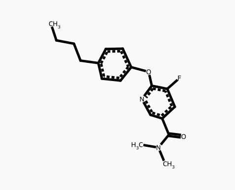 CCCCc1ccc(Oc2ncc(C(=O)N(C)C)cc2F)cc1